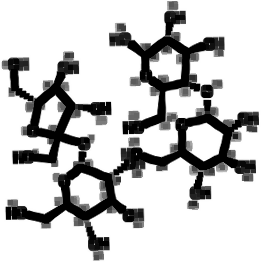 OC[C@H]1O[C@@](CO)(O[C@H]2O[C@H](CO)[C@@H](O)[C@H](O)[C@H]2O)[C@@H](O)[C@@H]1O.OC[C@H]1O[C@H](O[C@H]2[C@H](O)[C@@H](O)[C@H](O)O[C@@H]2CO)[C@H](O)[C@@H](O)[C@@H]1O